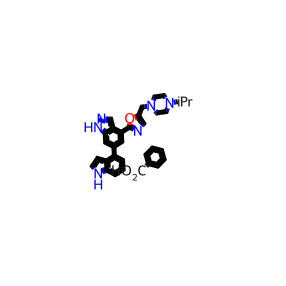 CC(C)N1CCN(Cc2cnc(-c3cc(-c4cccc5[nH]ccc45)cc4[nH]ncc34)o2)CC1.O=C(O)c1ccccc1